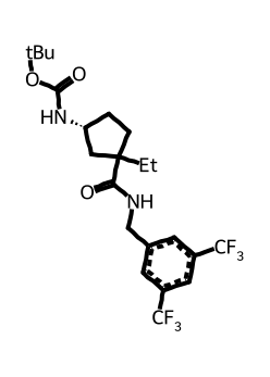 CCC1(C(=O)NCc2cc(C(F)(F)F)cc(C(F)(F)F)c2)CC[C@@H](NC(=O)OC(C)(C)C)C1